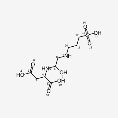 O=C(O)CC(NC(O)CNCCCS(=O)(=O)O)C(=O)O